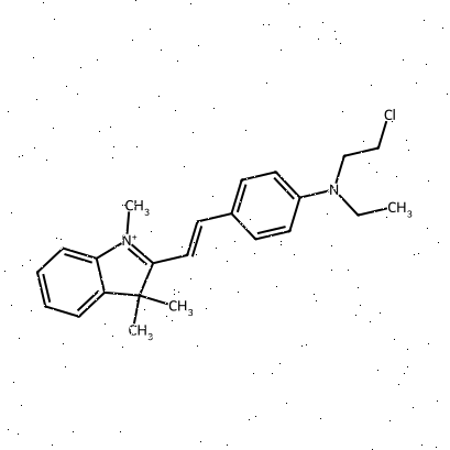 CCN(CCCl)c1ccc(C=CC2=[N+](C)c3ccccc3C2(C)C)cc1